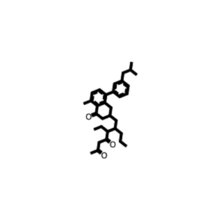 CCCC(CC1CC(=O)c2c(C)ccc(-c3cccc(CC(C)C)c3)c2C1)C(CC)C(=O)CC(C)=O